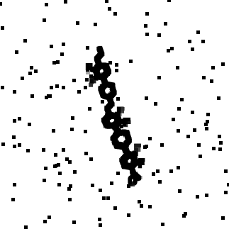 CCCc1ccc(C2CCC(CCc3ccc(C4CC=C(c5ccc(C6CO6)c(F)c5F)CC4)c(F)c3F)CC2)c(F)c1F